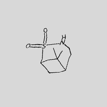 CC1(C)C2CNS(=O)(=O)C1C2